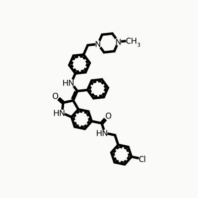 CN1CCN(Cc2ccc(N/C(=C3\C(=O)Nc4ccc(C(=O)NCc5cccc(Cl)c5)cc43)c3ccccc3)cc2)CC1